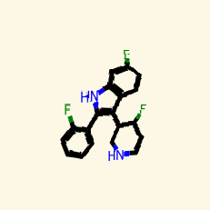 Fc1ccc2c(C3CNCCC3F)c(-c3ccccc3F)[nH]c2c1